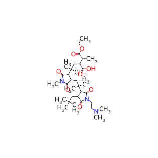 CCOC(=O)C(C)C(CC(C)(C)C1C(=O)N(C)C(=O)C1CC(C)(C)C1C(=O)N(CCN(C)C)C(=O)C1CC(C)(C)C)C(=O)O